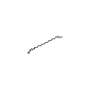 CCCCCCCCCCCCCCCCCCCCC=CN=C=O